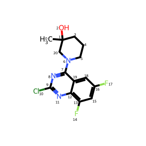 CC1(O)CCCN(c2nc(Cl)nc3c(F)cc(F)cc23)C1